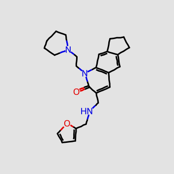 O=c1c(CNCc2ccco2)cc2cc3c(cc2n1CCN1CCCCC1)CCC3